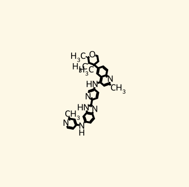 Cc1cc(Nc2ccc3nc(-c4ccc(Nc5cc(C)nc6ccc([C@@]7(C)CCO[C@H](C)[C@H]7C)cc56)cn4)[nH]c3c2)ccn1